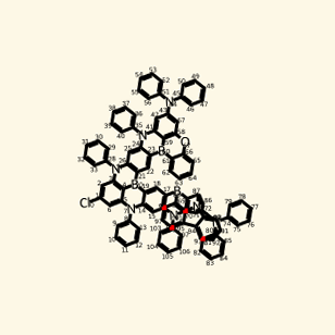 Clc1cc2c3c(c1)N(c1ccccc1)c1cc4c(cc1B3c1cc3c(cc1N2c1ccccc1)N(c1ccccc1)c1cc(N(c2ccccc2)c2ccccc2)cc2c1B3c1ccccc1O2)B1c2c(cc(N(c3ccccc3)c3ccccc3)cc2-n2c3ccccc3c3cccc1c32)N4c1ccccc1